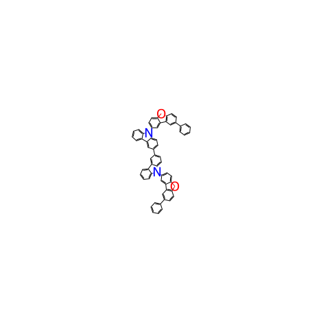 c1ccc(-c2ccc3oc4ccc(-n5c6ccccc6c6cc(-c7ccc8c(c7)c7ccccc7n8-c7ccc8oc9ccc(-c%10ccccc%10)cc9c8c7)ccc65)cc4c3c2)cc1